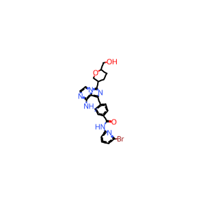 Nc1nccn2c(C3CCC(CO)OC3)nc(-c3ccc(C(=O)Nc4cccc(Br)n4)cc3)c12